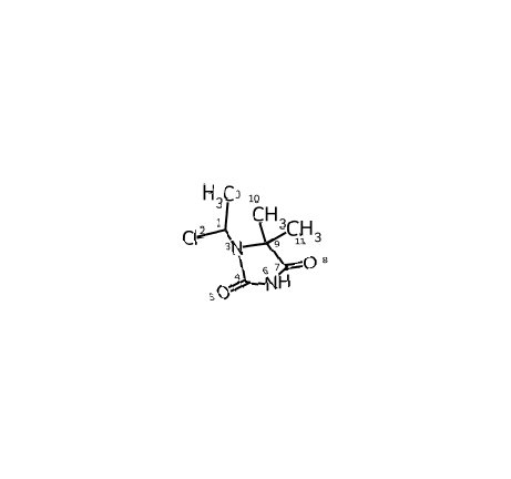 CC(Cl)N1C(=O)NC(=O)C1(C)C